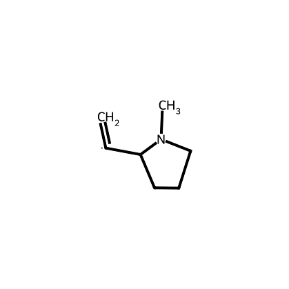 C=[C]C1CCCN1C